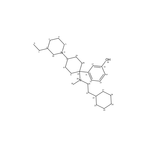 CCC1CCCN(C2CCC(c3cccc(O)c3)(N(C)CCC3CCCCC3)CC2)C1